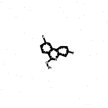 CC(C)Oc1nc2cc(F)ccc2c2cc(F)ccc12